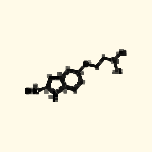 CCN(CC)CCOc1ccc2[nH]c(C=O)cc2c1